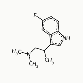 CC(CN(C)C)c1c[nH]c2ccc(F)cc12